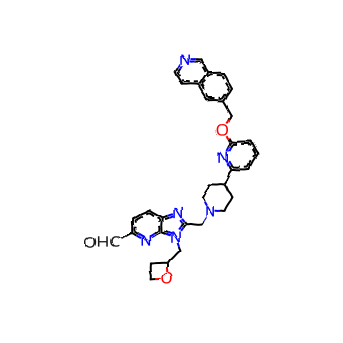 O=Cc1ccc2nc(CN3CCC(c4cccc(OCc5ccc6cnccc6c5)n4)CC3)n(CC3CCO3)c2n1